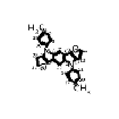 Cc1ccc(-n2c3cc4c5occc5n(-c5ccc(C)cc5)c4cc3c3occc32)cc1